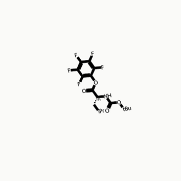 CC(C)C[C@@H](NC(=O)OC(C)(C)C)C(=O)Oc1c(F)c(F)c(F)c(F)c1F